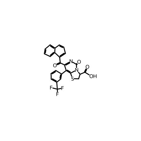 O=C(c1nc(=O)n2c(c1-c1cccc(C(F)(F)F)c1)SCC2C(=O)O)c1cccc2ccccc12